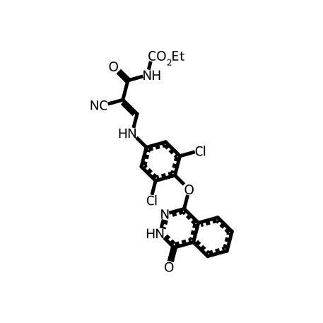 CCOC(=O)NC(=O)/C(C#N)=C/Nc1cc(Cl)c(Oc2n[nH]c(=O)c3ccccc23)c(Cl)c1